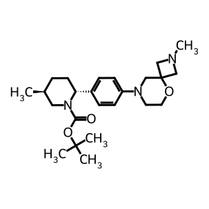 C[C@H]1CC[C@H](c2ccc(N3CCOC4(CN(C)C4)C3)cc2)N(C(=O)OC(C)(C)C)C1